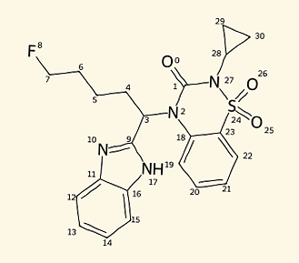 O=C1N(C(CCCCF)c2nc3ccccc3[nH]2)c2ccccc2S(=O)(=O)N1C1CC1